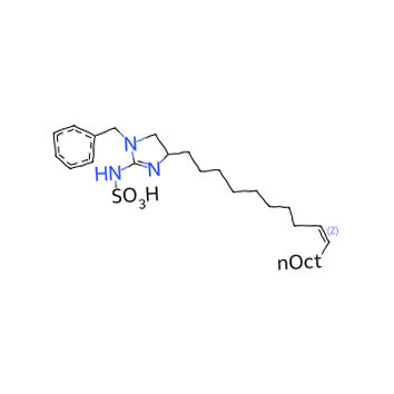 CCCCCCCC/C=C\CCCCCCCCC1CN(Cc2ccccc2)C(NS(=O)(=O)O)=N1